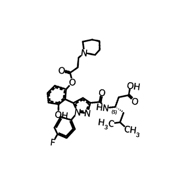 CC(C)C[C@@H](CC(=O)O)NC(=O)c1cc(-c2c(O)cccc2OC(=O)CCN2CCCCC2)n(C2=C=C=C(F)C=C2)n1